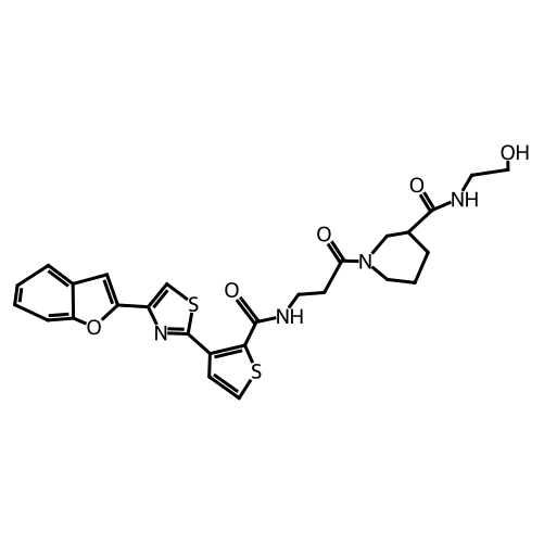 O=C(NCCC(=O)N1CCCC(C(=O)NCCO)C1)c1sccc1-c1nc(-c2cc3ccccc3o2)cs1